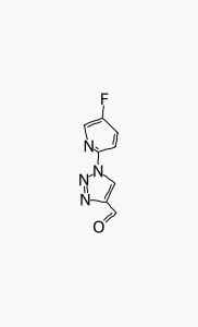 O=Cc1cn(-c2ccc(F)cn2)nn1